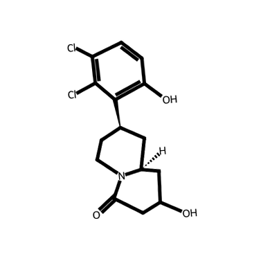 O=C1CC(O)C[C@@H]2C[C@H](c3c(O)ccc(Cl)c3Cl)CCN12